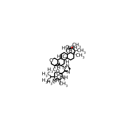 CC[C@H](C)NC(=O)c1ncnn1[C@@H]1C[C@@]23COC[C@](C)([C@@H]2CC[C@H]2C3=CC[C@@]3(C)[C@H](C(=O)O)[C@@](C)([C@H](C)C(C)C)CC[C@]23C)[C@H]1OC[C@](C)(N)C(C)C